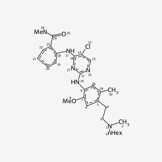 CCCCCCN(C)CCc1cc(OC)c(Nc2ncc(Cl)c(Nc3ccccc3C(=O)NC)n2)cc1C